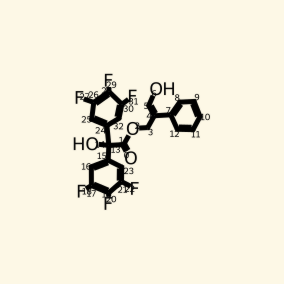 O=C(OCC(=CO)c1ccccc1)C(O)(c1cc(F)c(F)c(F)c1)c1cc(F)c(F)c(F)c1